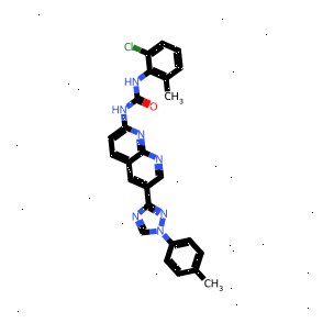 Cc1ccc(-n2cnc(-c3cnc4nc(NC(=O)Nc5c(C)cccc5Cl)ccc4c3)n2)cc1